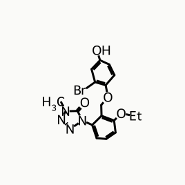 CCOc1cccc(-n2nnn(C)c2=O)c1COc1ccc(O)cc1Br